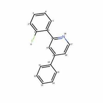 Fc1ccccc1-c1[c]c(-c2ccccc2)ccn1